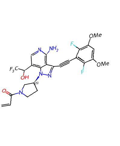 C=CC(=O)N1CC[C@H](n2nc(C#Cc3c(F)c(OC)cc(OC)c3F)c3c(N)ncc(C(O)C(F)(F)F)c32)C1